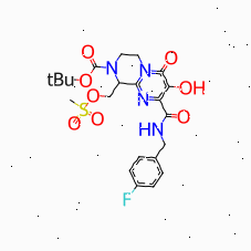 CC(C)(C)OC(=O)N1CCn2c(nc(C(=O)NCc3ccc(F)cc3)c(O)c2=O)C1COS(C)(=O)=O